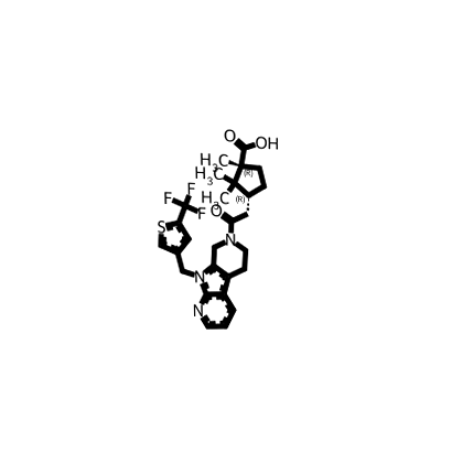 CC1(C)[C@@H](CC(=O)N2CCc3c(n(Cc4csc(C(F)(F)F)c4)c4ncccc34)C2)CC[C@@]1(C)C(=O)O